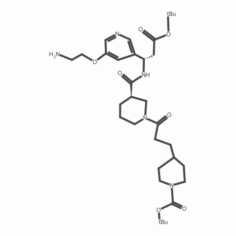 CC(C)(C)OC(=O)C[C@H](NC(=O)[C@@H]1CCCN(C(=O)CCC2CCN(C(=O)OC(C)(C)C)CC2)C1)c1cncc(OCCN)c1